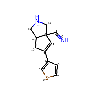 N=CC12C=C(c3ccsc3)CC1CNC2